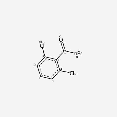 [CH2]CCC(=O)c1c(Cl)cccc1Cl